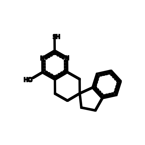 Oc1nc(S)nc2c1CCC1(CCc3ccccc31)C2